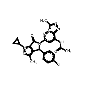 CC(=O)Nc1cc(N2C(=O)c3c(c(C)nn3C3CC3)C2c2ccc(Cl)cc2)nn2c(C)nnc12